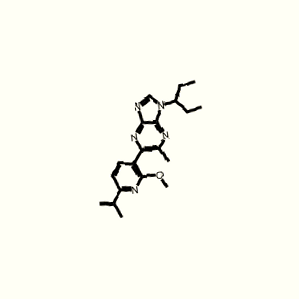 CCC(CC)n1cnc2nc(-c3ccc(C(C)C)nc3OC)c(C)nc21